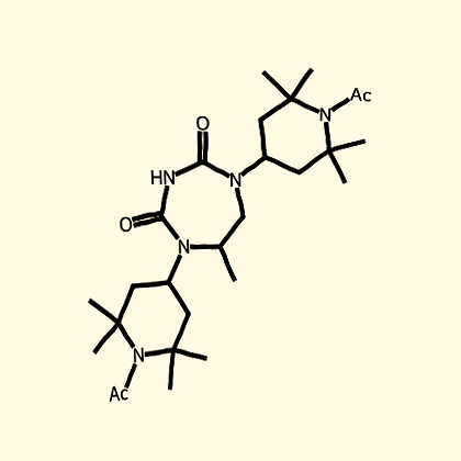 CC(=O)N1C(C)(C)CC(N2CC(C)N(C3CC(C)(C)N(C(C)=O)C(C)(C)C3)C(=O)NC2=O)CC1(C)C